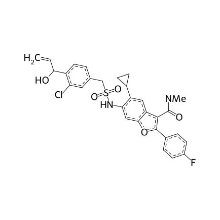 C=CC(O)c1ccc(CS(=O)(=O)Nc2cc3oc(-c4ccc(F)cc4)c(C(=O)NC)c3cc2C2CC2)cc1Cl